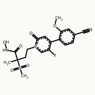 COc1cc(C#N)ccc1-c1cc(=O)n(CCC(C)(C(=O)NO)S(C)(=O)=O)cc1F